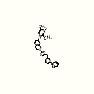 Cc1cn(-c2ccc3c(c2)CN(c2nc(Cc4cccc(-n5cccn5)c4)cs2)CC3)c(C)n1